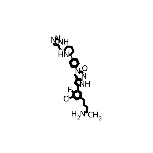 C[C@H](N)CCCc1cc(Cl)c(F)c(-c2cc3cn(-c4ccc([C@@H]5CCC[C@@H](Cc6cnn[nH]6)N5)cc4)c(=O)nc3[nH]2)c1